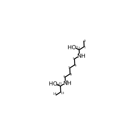 CCC(O)NCCCCCNC(O)CC